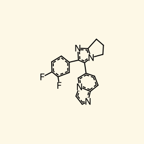 Fc1ccc(-c2nc3n(c2-c2ccc4nccn4c2)CCC3)cc1F